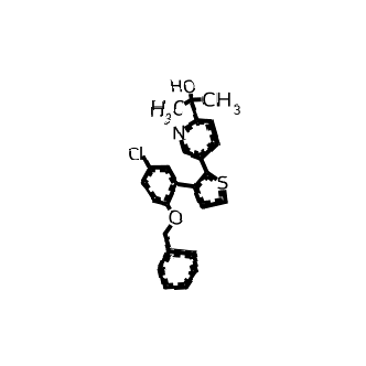 CC(C)(O)c1ccc(-c2sccc2-c2cc(Cl)ccc2OCc2ccccc2)cn1